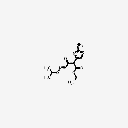 CCOC(=O)C(C(=O)C=NOC(C)C)c1csc(N)n1